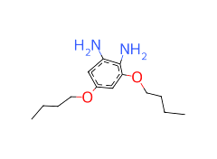 CCCCOc1cc(N)c(N)c(OCCCC)c1